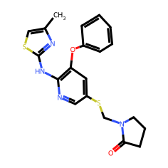 Cc1csc(Nc2ncc(SCN3CCCC3=O)cc2Oc2ccccc2)n1